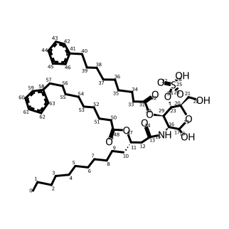 CCCCCCCCCCC[C@@H](CC(=O)N[C@H]1C(O)O[C@H](CO)[C@@H](OS(=O)(=O)O)[C@@H]1OC(=O)CCCCCCCCc1ccccc1)OC(=O)CCCCCCCCc1ccccc1